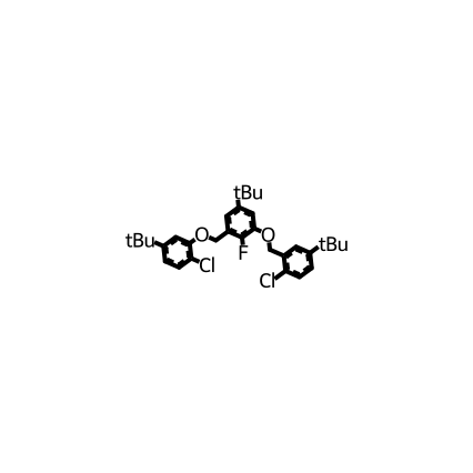 CC(C)(C)c1ccc(Cl)c(COc2cc(C(C)(C)C)cc(COc3cc(C(C)(C)C)ccc3Cl)c2F)c1